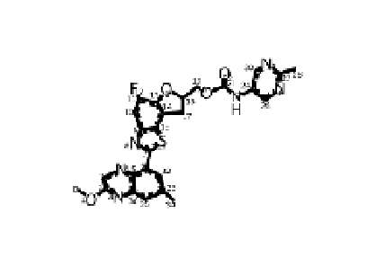 COc1cnc2c(-c3nc4cc(F)c5c(c4s3)CC(COC(=O)Nc3cnc(C)nc3)O5)cc(C)cc2n1